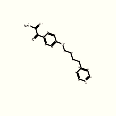 COC(=O)C(=O)c1ccc(OCCCCc2ccncc2)cc1